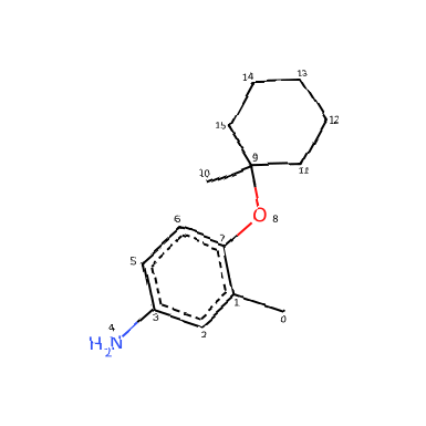 Cc1cc(N)ccc1OC1(C)CCCCC1